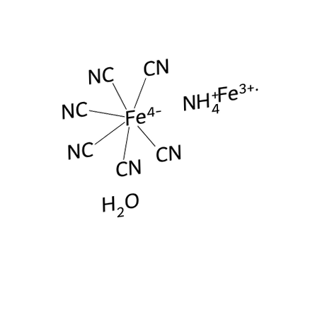 N#[C][Fe-4]([C]#N)([C]#N)([C]#N)([C]#N)[C]#N.O.[Fe+3].[NH4+]